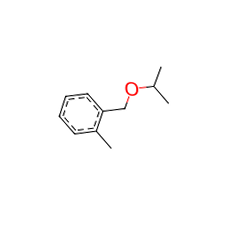 Cc1ccccc1COC(C)C